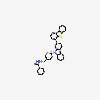 C=C(NCC1=CCC(C)(n2c3ccccc3c3ccc(-c4cccc5c4sc4ccccc45)cc32)C=C1)c1ccccc1